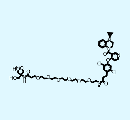 CN(CCOCCOCCOCCOCCOCCOCCC(=O)NC(CO)(CO)CO)C(=O)CCc1cc(Cl)c(Oc2ccncc2C(=O)N2CCN(C3CC3)c3ccccc32)cc1Cl